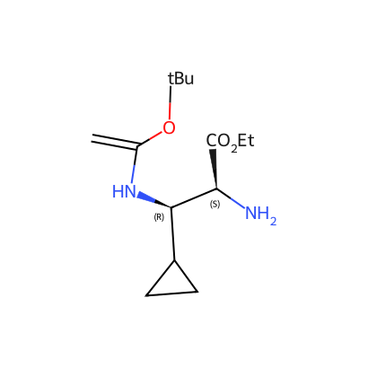 C=C(N[C@H](C1CC1)[C@H](N)C(=O)OCC)OC(C)(C)C